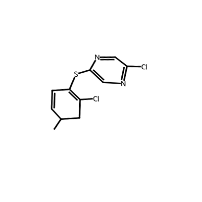 CC1C=CC(Sc2cnc(Cl)cn2)=C(Cl)C1